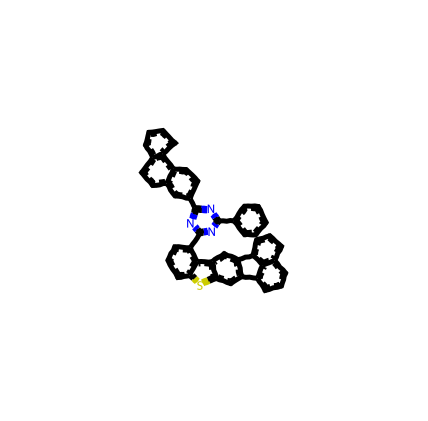 c1ccc(-c2nc(-c3ccc4c(ccc5ccccc54)c3)nc(-c3cccc4sc5cc6c(cc5c34)-c3cccc4cccc-6c34)n2)cc1